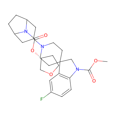 COC(=O)N1CC2(CCN(C3CC4CCC(C3)N4C(=O)O[C@@H]3CCOC3)CC2)c2cc(F)ccc21